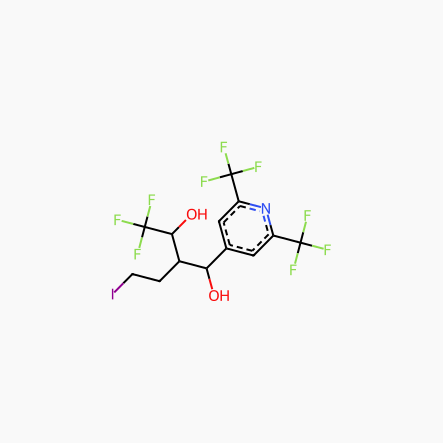 OC(c1cc(C(F)(F)F)nc(C(F)(F)F)c1)C(CCI)C(O)C(F)(F)F